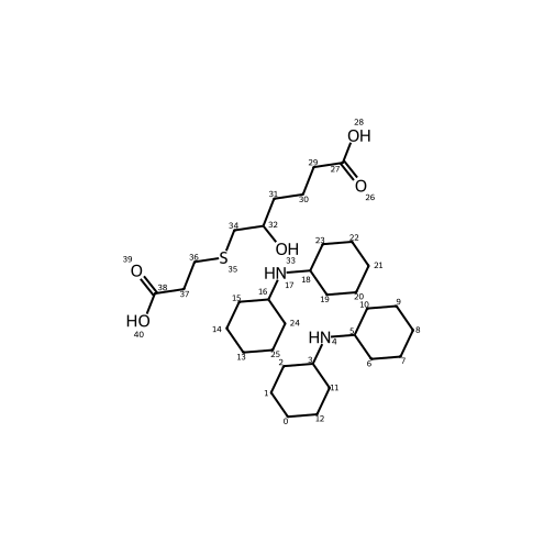 C1CCC(NC2CCCCC2)CC1.C1CCC(NC2CCCCC2)CC1.O=C(O)CCCC(O)CSCCC(=O)O